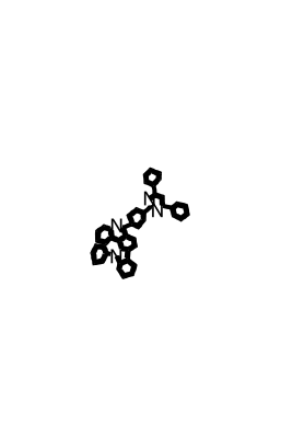 c1ccc(-c2cc(-c3ccccc3)nc(-c3ccc(-c4nc5ccccc5c5c4ccc4c6ccccc6n(-c6ccccc6)c45)cc3)n2)cc1